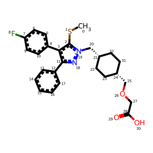 CSc1c(-c2ccc(F)cc2)c(-c2ccccc2)nn1C[C@H]1CC[C@@H](COCC(=O)O)CC1